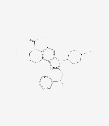 COC(=O)N1c2ccc3c(nc(C[C@@H](C(=O)O)c4ccccc4)n3C3CCC(C#N)CC3)c2CC[C@@H]1C